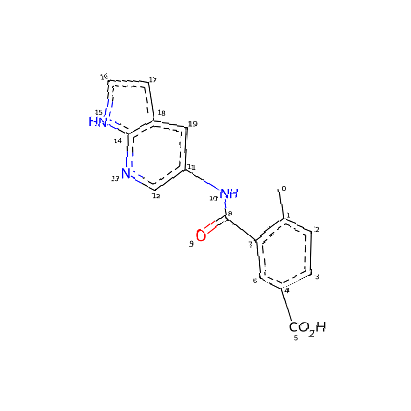 Cc1ccc(C(=O)O)cc1C(=O)Nc1cnc2[nH]ccc2c1